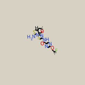 C[C@@H](F)COc1cnc(C(=O)Nc2csc(C34CO[C@@H](C)C[C@H]3CSC(N)=N4)n2)cn1